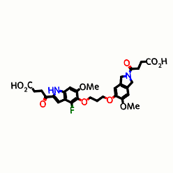 COc1cc2c(cc1OCCCOc1c(OC)cc3[nH]c(C(=O)CCC(=O)O)cc3c1F)CN(C(=O)CCC(=O)O)C2